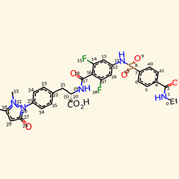 CCNC(=O)c1ccc(S(=O)(=O)Nc2cc(F)c(C(=O)N[C@@H](Cc3ccc(-n4c(=O)cc(C)n4C)cc3)C(=O)O)c(F)c2)cc1